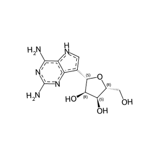 Nc1nc(N)c2[nH]cc([C@@H]3O[C@H](CO)[C@@H](O)[C@H]3O)c2n1